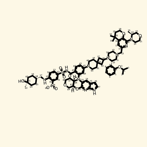 CC(C)Oc1ccccc1[C@H]1CN(Cc2cc3c(c(N4CCOC[C@@H]4C)n2)OCCC3(C)C)CCN1C1CC2(CCN(c3ccc(C(=O)NS(=O)(=O)c4ccc(NC[C@H]5CC[C@](C)(O)CC5)c([N+](=O)[O-])c4)c(N4c5cc6cc[nH]c6nc5O[C@H]5COCC[C@@H]54)c3)CC2)C1